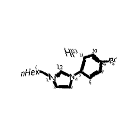 CCCCCCN1C=CN(c2ccc(Br)cc2)C1.I